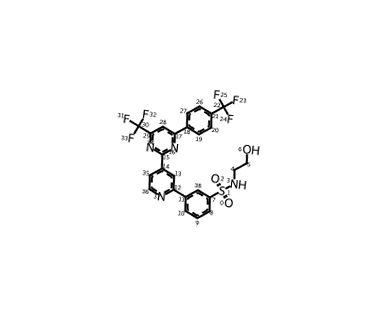 O=S(=O)(NCCO)c1cccc(-c2cc(-c3nc(-c4ccc(C(F)(F)F)cc4)cc(C(F)(F)F)n3)ccn2)c1